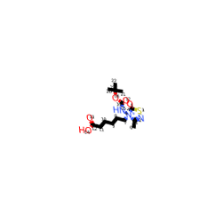 CC1=NSC(=O)[N+]1(CCCCCC(=O)O)NC(=O)OC(C)(C)C